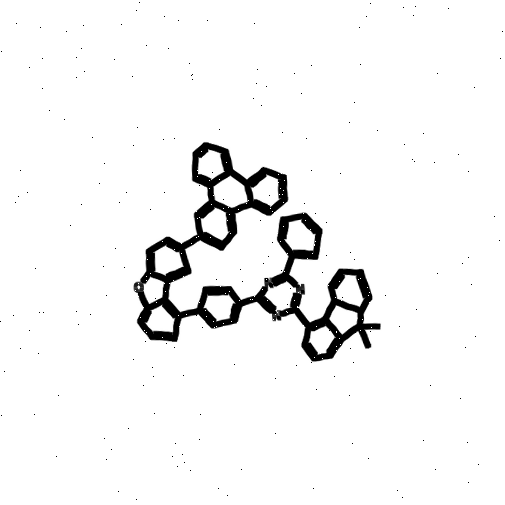 CC1(C)c2cccc(-c3nc(-c4ccccc4)nc(-c4ccc(-c5cccc6oc7ccc(-c8ccc9c%10ccccc%10c%10ccccc%10c9c8)cc7c56)cc4)n3)c2C2C=CC=CC21